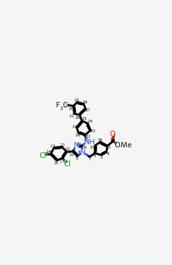 COC(=O)c1ccc(Cn2cc(-c3ccc(Cl)cc3Cl)nc2Nc2ccc(-c3cccc(C(F)(F)F)c3)cc2)cc1